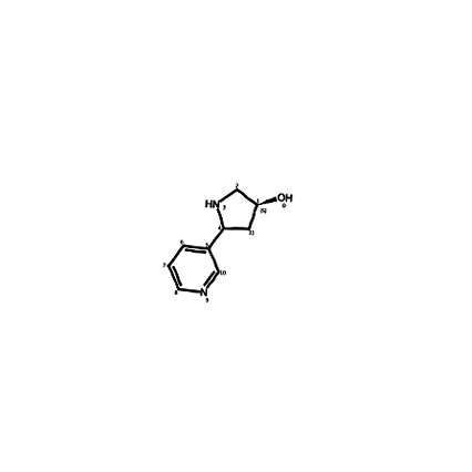 O[C@@H]1CNC(c2cccnc2)C1